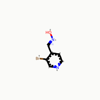 O/N=C/c1ccncc1Br